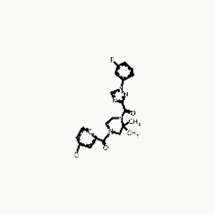 CC1(C)CN(C(=O)c2cccc(Cl)c2)CCN1C(=O)c1ncn(-c2cccc(F)c2)n1